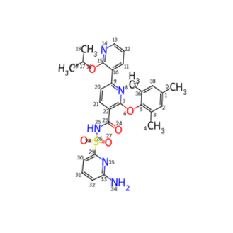 Cc1cc(C)c(Oc2nc(-c3cccnc3OC(C)C)ccc2C(=O)NS(=O)(=O)c2cccc(N)n2)c(C)c1